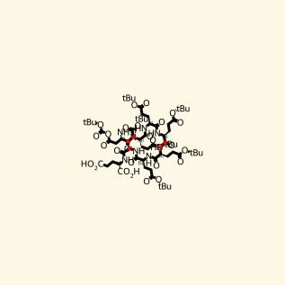 CC(C)(C)OC(=O)CC[C@H](NC(=O)[C@H](CCC(=O)OC(C)(C)C)NC(=O)[C@H](CCC(=O)OC(C)(C)C)NC(=O)[C@H](CCC(=O)OC(C)(C)C)NC(=O)[C@H](CCC(=O)OC(C)(C)C)NC(=O)[C@H](CCC(=O)OC(C)(C)C)NC(=O)[C@@H](N)CC(=O)OC(=O)OC(C)(C)C)C(=O)N[C@@H](CCC(=O)O)C(=O)O